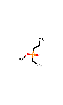 CCCP(=O)(CC)OC